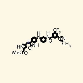 COC(=O)c1cc(/C=C2\C(=O)Nc3cc(Nc4cccc(NC(=O)c5cc(-n6cnc(C)c6)cc(C(F)(F)F)c5)c4)ccc32)c[nH]1